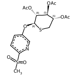 CC(=O)O[C@@H]1[C@@H](OC(C)=O)[C@H](OC(C)=O)CS[C@H]1Oc1ccc(S(C)(=O)=O)nc1